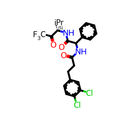 CC(C)[C@H](NC(=O)C(NC(=O)CCc1ccc(Cl)c(Cl)c1)c1ccccc1)C(=O)C(F)(F)F